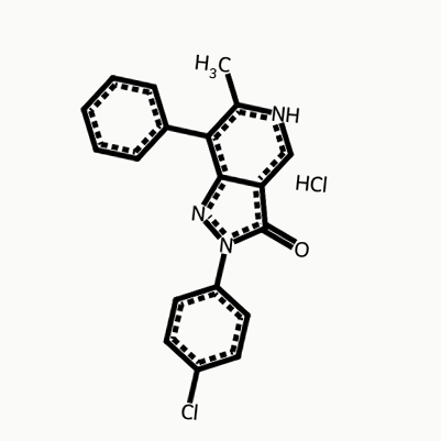 Cc1[nH]cc2c(=O)n(-c3ccc(Cl)cc3)nc-2c1-c1ccccc1.Cl